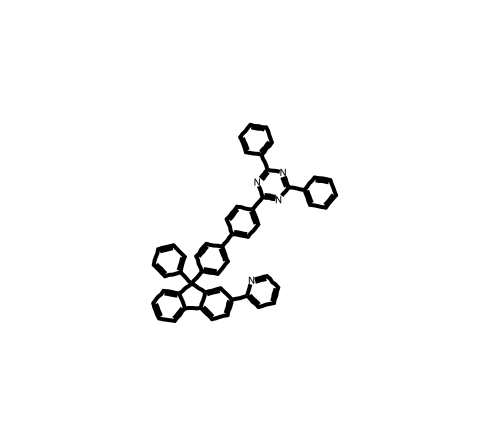 c1ccc(-c2nc(-c3ccccc3)nc(-c3ccc(-c4ccc(C5(c6ccccc6)c6ccccc6-c6ccc(-c7ccccn7)cc65)cc4)cc3)n2)cc1